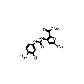 COC(=O)c1oc(C(C)(C)C)cc1NC(=O)Nc1ccc(C)c(Cl)c1